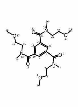 COCCN(C)C(=O)c1cc(C(=O)N(C)CCOC)cc(C(=O)N(C)CCOC)c1